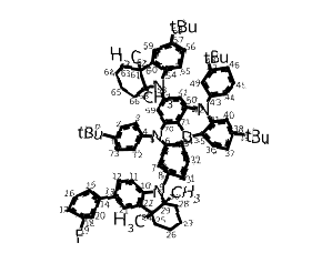 CC(C)(C)c1ccc(N2c3cc(N4c5ccc(-c6cccc(F)c6)cc5C5(C)CCCCC45C)ccc3B3c4ccc(C(C)(C)C)cc4N(c4cccc(C(C)(C)C)c4)c4cc(N5c6ccc(C(C)(C)C)cc6C6(C)CCCCC56C)cc2c43)cc1